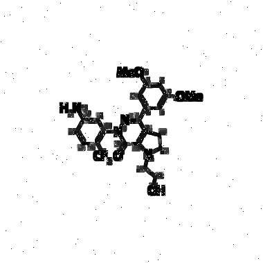 COc1cc(OC)cc(-c2nn(-c3cc(N)ccc3C(F)(F)F)c(=O)c3c2CCN3CCO)c1